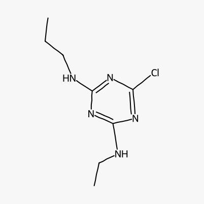 CCCNc1nc(Cl)nc(NCC)n1